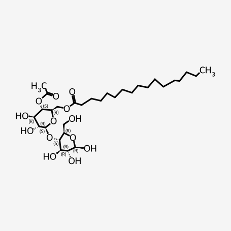 CCCCCCCCCCCCCCCCC(=O)OC[C@H]1O[C@@H](O[C@H]2[C@H](O)[C@@H](O)[C@H](O)O[C@@H]2CO)[C@H](O)[C@@H](O)[C@@H]1OC(C)=O